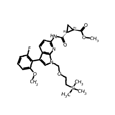 COC(=O)[C@@H]1C[C@H]1C(=O)Nc1ccc2c(-c3c(F)cccc3OC)cn(COCC[Si](C)(C)C)c2n1